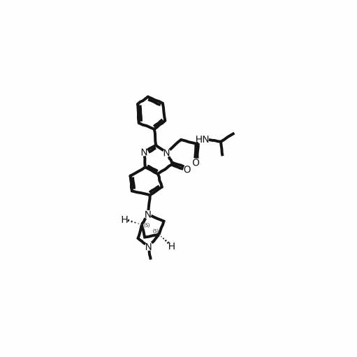 CC(C)NC(=O)Cn1c(-c2ccccc2)nc2ccc(N3C[C@@H]4C[C@H]3CN4C)cc2c1=O